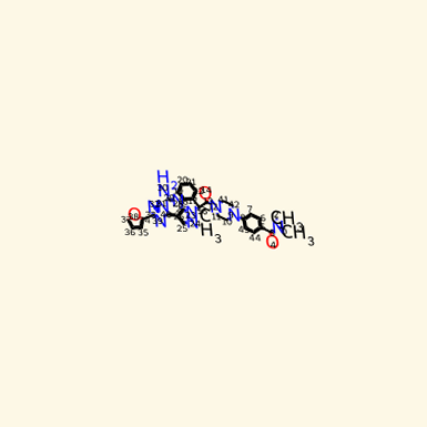 CN(C)C(=O)c1ccc(N2CCN(C(=O)C(C)(c3ccccc3)n3ncc4c3nc(N)n3nc(-c5ccco5)nc43)CC2)cc1